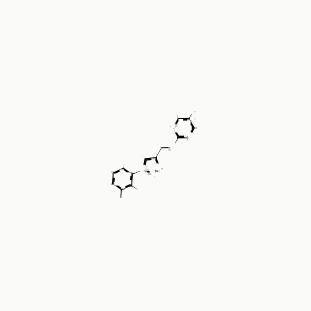 Cc1c(F)cccc1-n1cc(COc2ncc(Cl)cn2)nn1